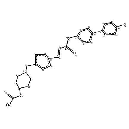 NC(=O)OC1CCN(Cc2ccc(/C=C/C(=O)Nc3ccc(-c4ccc(Cl)cc4)cc3)cc2)CC1